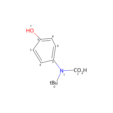 CC(C)(C)N(C(=O)O)c1ccc(O)cc1